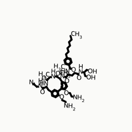 CCCCCCCCc1ccc(C(=O)NC(CCC(=O)NC(CO)CO)C(=O)N(C)C2C(=O)NC(C)C(=O)NC(C(=O)NCC#N)Cc3ccc(OCCN)c(c3)-c3cc2ccc3OCCN)c(C)c1